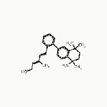 C/C(C=Cc1ccccc1-c1ccc2c(c1)C(C)(C)CCC2(C)C)=C\CO